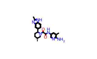 Cc1nc2cc(C3CC[C@H](C)CN3C(=O)C(=O)Nc3cnc(N)c(C)c3)ccc2[nH]1